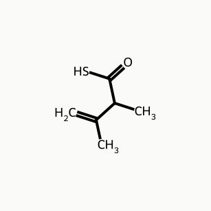 C=C(C)C(C)C(=O)S